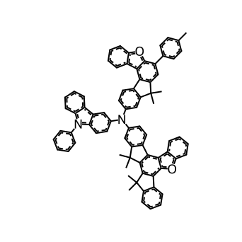 Cc1ccc(-c2cc3c(c4c2oc2ccccc24)-c2ccc(N(c4ccc5c(c4)C(C)(C)c4c6c(c7oc8ccccc8c7c4-5)-c4ccccc4C6(C)C)c4ccc5c(c4)c4ccccc4n5-c4ccccc4)cc2C3(C)C)cc1